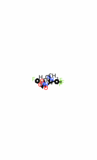 CCN(C1(C(=O)NCc2cc(-c3ccc(C(F)(F)F)cc3)nc(N(C)C)c2)CC1)S(=O)(=O)c1ccc(F)cc1